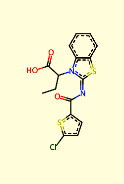 CCC(C(=O)O)n1/c(=N\C(=O)c2ccc(Cl)s2)sc2ccccc21